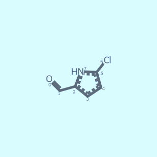 O=Cc1ccc(Cl)[nH]1